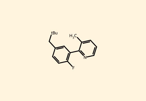 Cc1cccnc1-c1cc(CC(C)(C)C)ccc1F